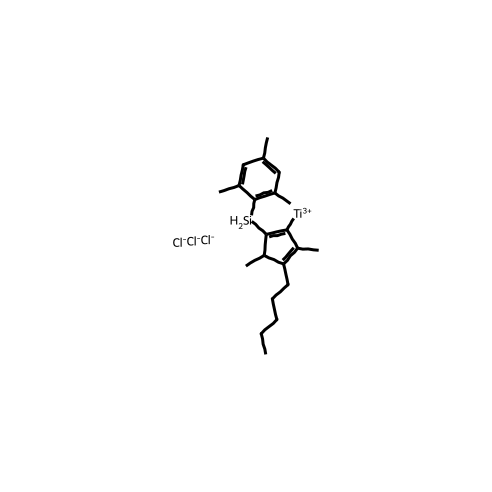 CCCCCC1=C(C)[C]([Ti+3])=C([SiH2]c2c(C)cc(C)cc2C)C1C.[Cl-].[Cl-].[Cl-]